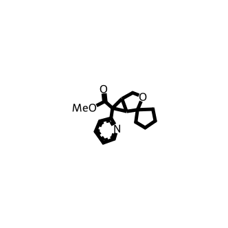 COC(=O)C1(c2ccccn2)C2COC3(CCCC3)C21